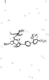 COC(=O)NCC(=O)N1CC(SC)CC1c1nc(-c2ccc(-c3ccc(C(=O)O)cc3OC(F)(F)F)cc2)c[nH]1